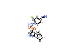 N#Cc1ccc(NS(=O)(=O)c2c[nH]c3c2CC2CCC3C2)c(F)c1